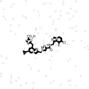 O=C(NCc1ncn2ccc(Cl)c(F)c12)c1cn(Cc2cn3cc(C4CC4)cc(Cc4nnc(C(=O)O)o4)c3n2)nn1